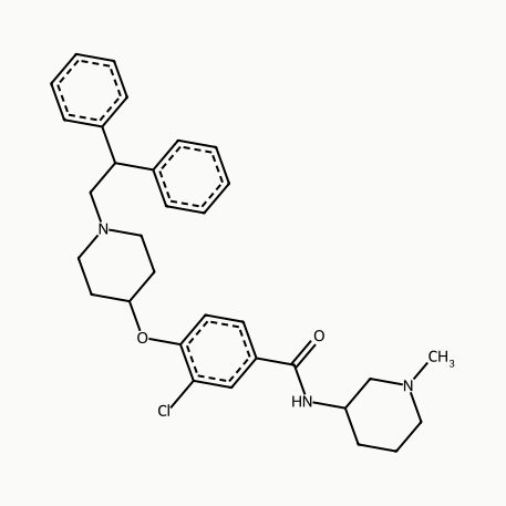 CN1CCCC(NC(=O)c2ccc(OC3CCN(CC(c4ccccc4)c4ccccc4)CC3)c(Cl)c2)C1